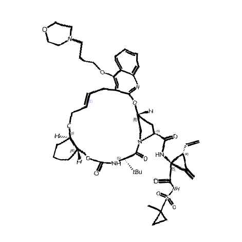 C=C[C@@H]1C(=C)[C@]1(NC(=O)[C@@H]1C[C@@H]2CN1C(=O)[C@H](C(C)(C)C)NC(=O)O[C@@H]1CCC[C@H]1CC/C=C/Cc1c(nc3ccccc3c1OCCCN1CCOCC1)O2)C(=O)NS(=O)(=O)C1(C)CC1